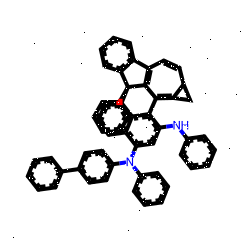 C1=CC2CC2=C2C3=C1c1ccccc1C3(c1ccccc1)c1cccc3c(N(c4ccccc4)c4ccc(-c5ccccc5)cc4)cc(Nc4ccccc4)c2c13